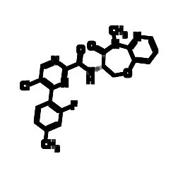 Cc1ccc(-c2nc(C(=O)N[C@H]3COc4cccnc4N(C)C3=O)ncc2Cl)c(F)c1